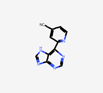 N#Cc1ccnc(-c2ncnc3nc[nH]c23)c1